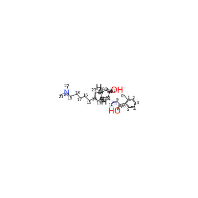 Cc1ccccc1[C@@H](O)/C=C/[C@@H]1[C@H]2CC(CCCCCN(C)C)=C[C@H]2C[C@H]1O